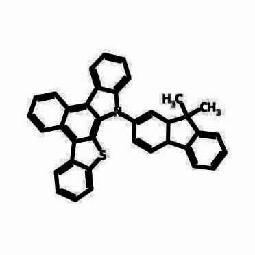 CC1(C)c2ccccc2C2C=CC(n3c4ccccc4c4c5ccccc5c5c6ccccc6sc5c43)=CC21